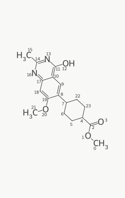 COC(=O)C1CCC(c2cc3c(O)nc(C)nc3cc2OC)CC1